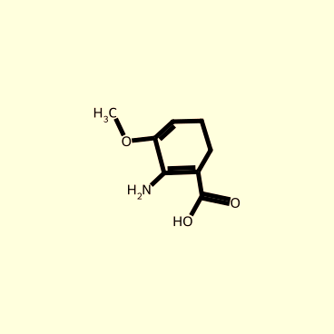 COC1=CCCC(C(=O)O)=C1N